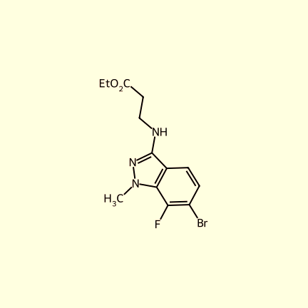 CCOC(=O)CCNc1nn(C)c2c(F)c(Br)ccc12